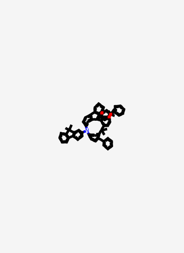 CC(C)(C)c1ccc2c(c1)C1(c3ccc(-c4ccccc4)cc3)c3ccccc3-c3ccc(cc31)N(c1ccc3c(c1)C(C)(C)c1ccccc1-3)c1ccc(-c3ccccc3)c(c1)C2(C)C